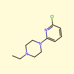 CCN1CCN(c2cccc(Cl)n2)CC1